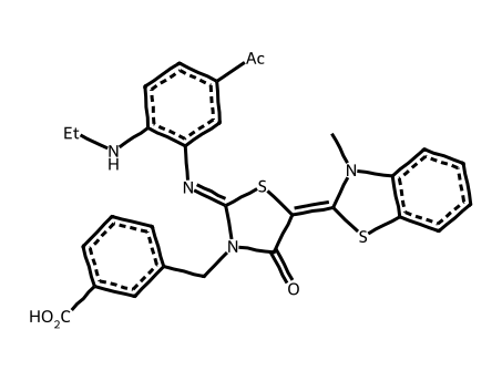 CCNc1ccc(C(C)=O)cc1N=C1SC(=C2Sc3ccccc3N2C)C(=O)N1Cc1cccc(C(=O)O)c1